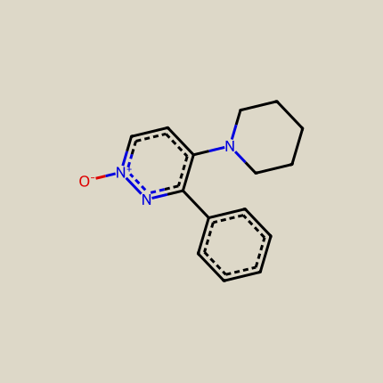 [O-][n+]1ccc(N2CCCCC2)c(-c2ccccc2)n1